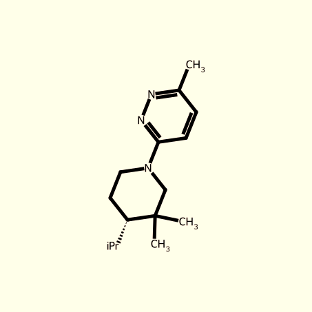 Cc1ccc(N2CC[C@@H](C(C)C)C(C)(C)C2)nn1